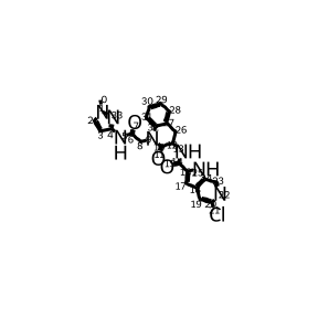 Cn1ccc(NC(=O)CN2C(=O)C(NC(=O)c3cc4cc(Cl)ncc4[nH]3)Cc3ccccc32)n1